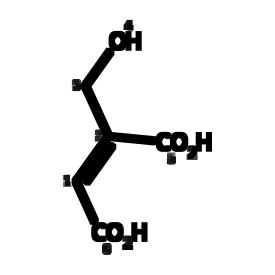 O=C(O)/C=C(/CO)C(=O)O